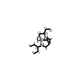 CCC(CC)N1CC2CN3C(CC)CO[PH]13C2